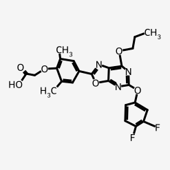 CCCOc1nc(Oc2ccc(F)c(F)c2)nc2oc(-c3cc(C)c(OCC(=O)O)c(C)c3)nc12